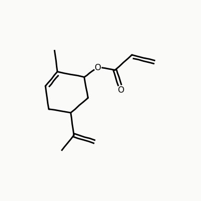 C=CC(=O)OC1CC(C(=C)C)CC=C1C